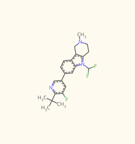 CN1CCc2c(c3ccc(-c4cnc(C(C)(C)C)c(F)c4)cc3n2C(F)F)C1